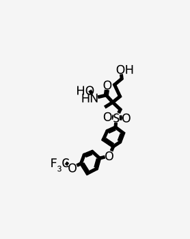 CC(CCCO)(CS(=O)(=O)c1ccc(Oc2ccc(OC(F)(F)F)cc2)cc1)C(=O)NO